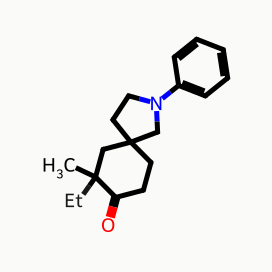 CCC1(C)CC2(CCC1=O)CCN(c1ccccc1)C2